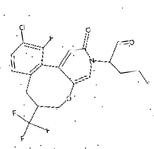 CCCC(C=O)n1cc2c(cc1=O)-c1c(ccc(Cl)c1F)CC(C(F)(F)F)CO2